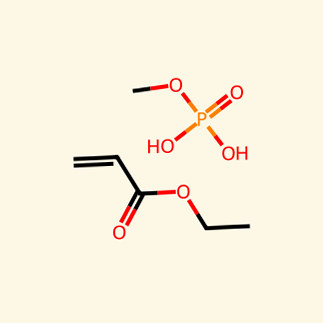 C=CC(=O)OCC.COP(=O)(O)O